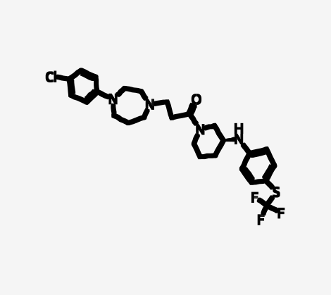 O=C(CCN1CCCN(c2ccc(Cl)cc2)CC1)N1CCC[C@H](Nc2ccc(SC(F)(F)F)cc2)C1